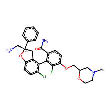 CC(=O)N1CCOC(COc2ccc(C(N)=O)c(-c3c(Cl)ccc4c3C[C@@](CN)(c3ccccc3)O4)c2F)C1